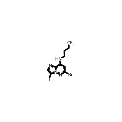 FC(F)(F)CCCNc1cc(Br)nn2c(I)cnc12